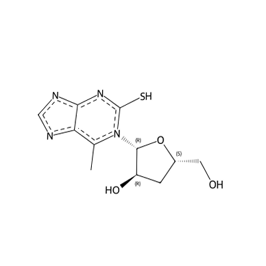 Cc1c2ncnc-2nc(S)n1[C@@H]1O[C@H](CO)C[C@H]1O